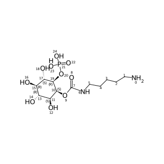 NCCCCCNC(=O)O[C@H]1[C@@H](O)[C@H](O)[C@@H](O)[C@H](O)[C@H]1OP(=O)(O)O